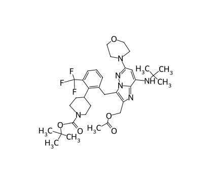 CC(=O)OCc1nc2c(NC(C)(C)C)cc(N3CCOCC3)nn2c1Cc1cccc(C(F)(F)F)c1C1CCN(C(=O)OC(C)(C)C)CC1